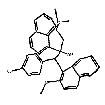 COc1ccc2ccccc2c1C(c1ccc(Cl)cc1)C(O)(CCN(C)C)c1cccc2ccccc12